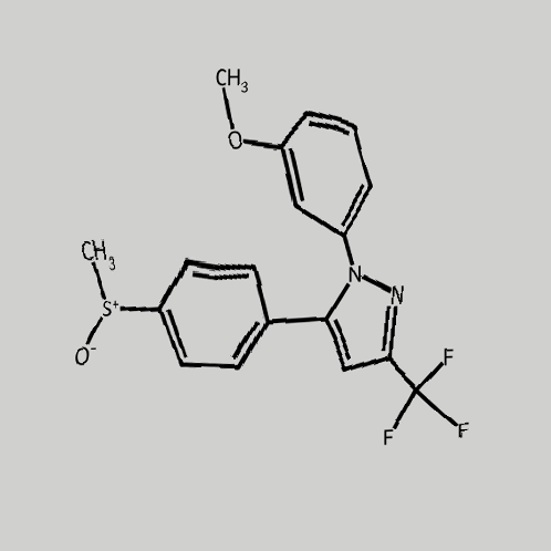 COc1cccc(-n2nc(C(F)(F)F)cc2-c2ccc([S+](C)[O-])cc2)c1